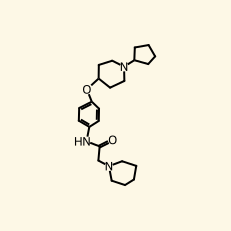 O=C(CN1CCCCC1)Nc1ccc(OC2CCN(C3CCCC3)CC2)cc1